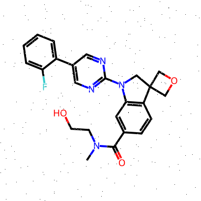 CN(CCO)C(=O)c1ccc2c(c1)N(c1ncc(-c3ccccc3F)cn1)CC21COC1